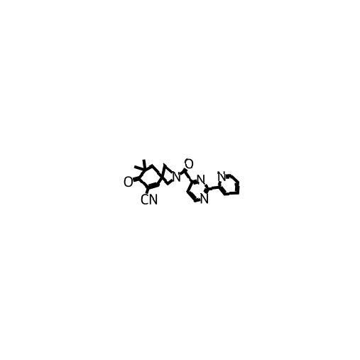 CC1(C)CC2(C=C(C#N)C1=O)CN(C(=O)c1ccnc(-c3ccccn3)n1)C2